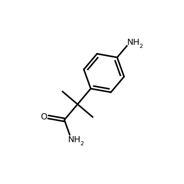 CC(C)(C(N)=O)c1ccc(N)cc1